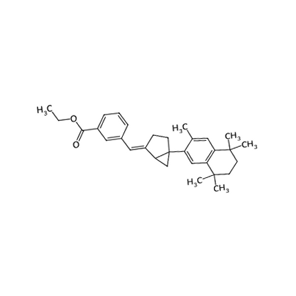 CCOC(=O)c1cccc(C=C2CCC3(c4cc5c(cc4C)C(C)(C)CCC5(C)C)CC23)c1